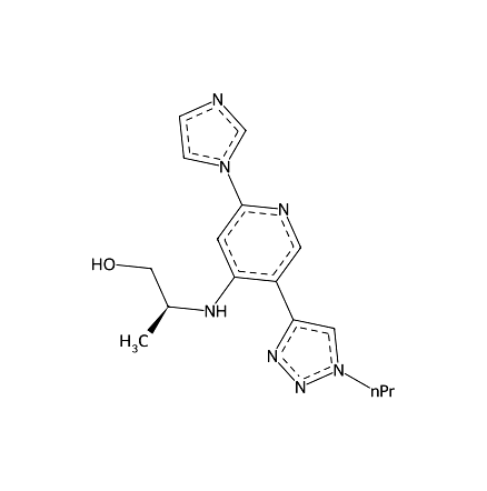 CCCn1cc(-c2cnc(-n3ccnc3)cc2N[C@@H](C)CO)nn1